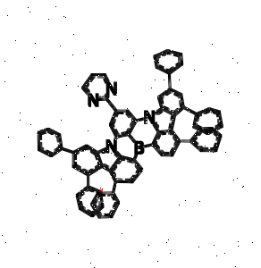 c1ccc(-c2cc(-c3ccccc3)c3c4c(-c5ccccc5)ccc5c4n(c3c2)-c2cc(-c3ncccn3)cc3c2B5c2ccc(-c4ccccc4)c4c5c(-c6ccccc6)cc(-c6ccccc6)cc5n-3c24)cc1